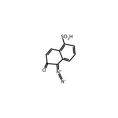 [N-]=[N+]=C1C(=O)C=Cc2c1cccc2S(=O)(=O)O